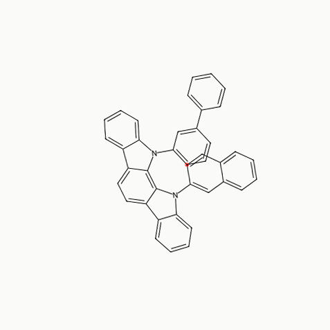 c1ccc(-c2cccc(-n3c4ccccc4c4ccc5c6ccccc6n(-c6ccc7ccccc7c6)c5c43)c2)cc1